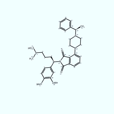 COc1ccc([C@@H](CCCN(C)S(=O)(=O)O)N2C(=O)c3cccc(N4CCN([C@H](C)c5ccccc5)CC4)c3C2=O)cc1OC